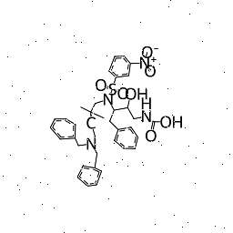 CC(C)(CCN(Cc1ccccc1)Cc1ccccc1)CN(C(Cc1ccccc1)C(O)CNC(=O)O)S(=O)(=O)c1cccc([N+](=O)[O-])c1